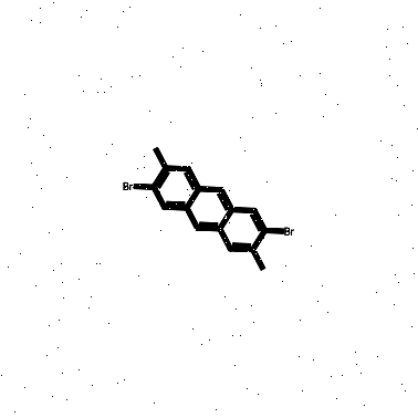 Cc1cc2cc3cc(Br)c(C)cc3cc2cc1Br